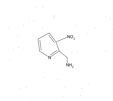 NCc1ncccc1[N+](=O)[O-]